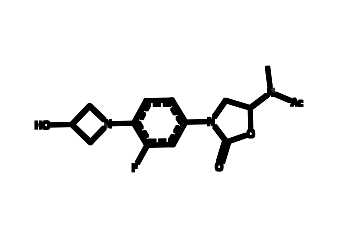 CC(=O)N(C)C1CN(c2ccc(N3CC(O)C3)c(F)c2)C(=O)O1